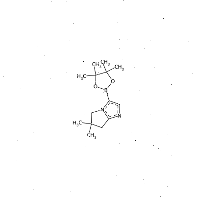 CC1(C)Cc2ncc(B3OC(C)(C)C(C)(C)O3)n2C1